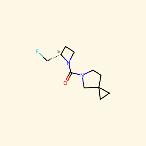 O=C(N1CCC2(CC2)C1)N1CC[C@H]1CF